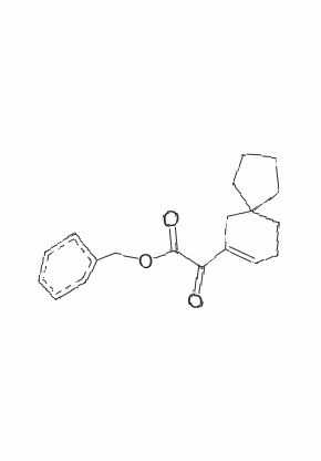 O=C(OCc1ccccc1)C(=O)C1=CCCC2(CCCC2)C1